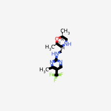 Cc1nc(NC[C@H]2NC[C@@H](C)O[C@H]2C)ncc1C(F)(F)F